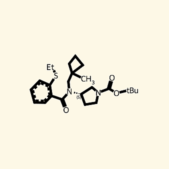 CCSc1ccccc1C(=O)N(CC1(C)CCC1)[C@H]1CCN(C(=O)OC(C)(C)C)C1